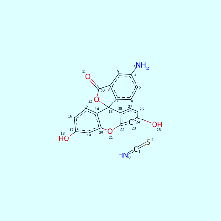 N=C=S.Nc1ccc2c(c1)C(=O)OC21c2ccc(O)cc2Oc2cc(O)ccc21